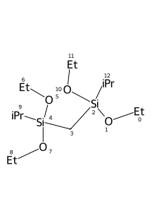 CCO[Si](C[Si](OCC)(OCC)C(C)C)(OCC)C(C)C